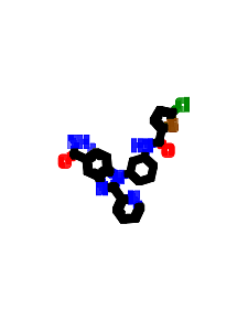 NC(=O)c1ccc2c(c1)nc(-c1ccccn1)n2C1CCCC(NC(=O)c2ccc(Cl)s2)C1